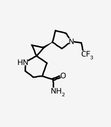 NC(=O)C1CCNC2(C1)CC2[C@H]1CCN(CC(F)(F)F)C1